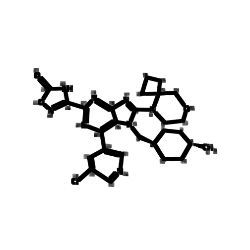 C[C@H]1CC[C@H](Cn2c(N3CCOCC34CCC4)nc3nc(-c4noc(=O)[nH]4)nc(-c4cncc(Cl)c4)c32)CC1